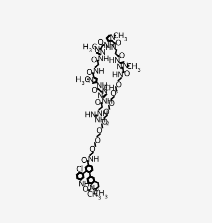 CC(=O)N1c2ccc(-c3ccc(C(=O)NCCOCCOCCOCCOCCOCCOCCOCCOCCNC(=O)c4nc(NC(=O)CCNC(=O)c5c(NC(=O)c6nc(NC(=O)CCNC(=O)c7cc(NC(=O)c8nc(NC(=O)CCNC(=N)N)cn8C)cn7C)cn6C)ccn5C)cn4C)cc3-c3cc(N)ccc3Cl)cc2CC[C@@H]1C